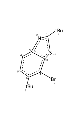 CC(C)(C)c1nc2ccc(C(C)(C)C)c(Br)c2s1